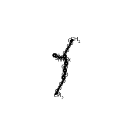 C=CC(=O)OCCOCCOCCOc1ccc(OC(=O)c2ccc(C(=O)Oc3ccc(C(=O)Oc4ccc(OCCOCCOCCOC(=O)C=C)cc4/C=N/N(CCCCCC)c4nc5ccccc5s4)cc3)cc2)cc1